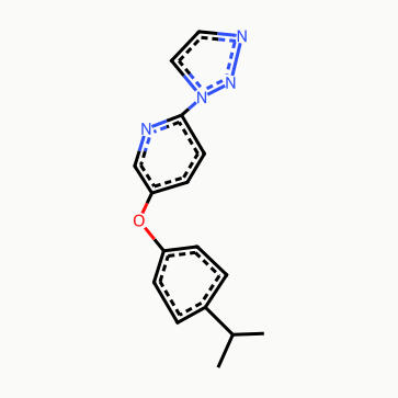 CC(C)c1ccc(Oc2ccc(-n3ccnn3)nc2)cc1